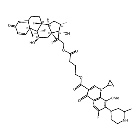 COc1c(N2CCNC(C)C2)c(F)cc2c(=O)c(C(=O)OCCCC(=O)OCC(=O)[C@]3(O)[C@@H](C)C[C@@H]4[C@H]5CCC6=CC(=O)C=C[C@@]6(C)[C@]5(F)[C@H](O)C[C@]43C)cn(C3CC3)c12